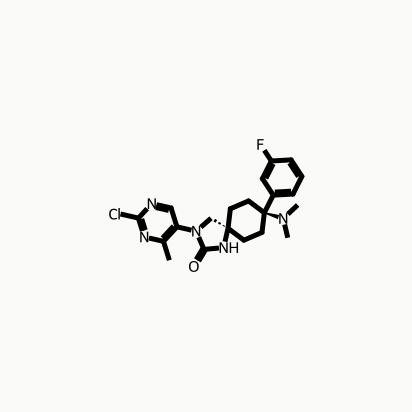 Cc1nc(Cl)ncc1N1C[C@]2(CC[C@](c3cccc(F)c3)(N(C)C)CC2)NC1=O